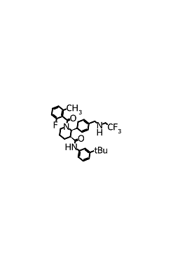 Cc1cccc(F)c1C(=O)N1CCC[C@H](C(=O)Nc2cccc(C(C)(C)C)c2)[C@@H]1C1C=CC(CNCC(F)(F)F)=CC1